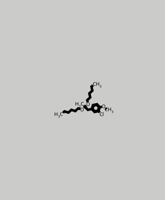 CCCCCCOC(C)(Cc1ccc(OC)c(Cl)c1)OCCCCCC